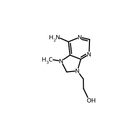 CN1CN(CCO)c2ncnc(N)c21